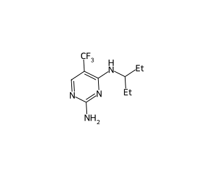 CCC(CC)Nc1nc(N)ncc1C(F)(F)F